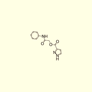 O=C(COC(=O)c1cc[nH]n1)Nc1ccccc1